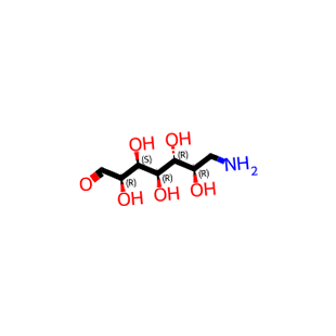 NC[C@@H](O)[C@@H](O)[C@@H](O)[C@H](O)[C@@H](O)C=O